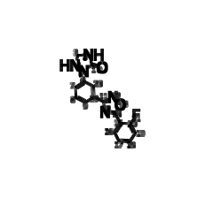 O=C1NCNN1c1cccc(-c2noc(-c3ccccc3F)n2)c1